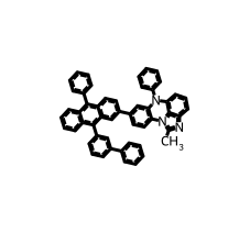 Cc1nc2cccc3c2n1-c1ccc(-c2ccc4c(-c5ccccc5)c5ccccc5c(-c5cccc(-c6ccccc6)c5)c4c2)cc1N3c1ccccc1